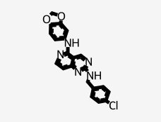 Clc1ccc(CNc2ncc3c(Nc4ccc5c(c4)OCO5)nccc3n2)cc1